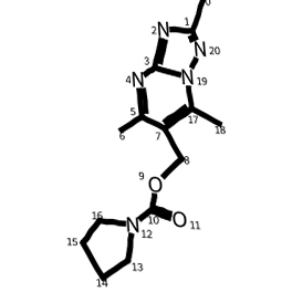 Cc1nc2nc(C)c(COC(=O)N3CCCC3)c(C)n2n1